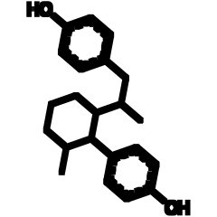 CC(Cc1ccc(O)cc1)C1CCCC(C)C1c1ccc(O)cc1